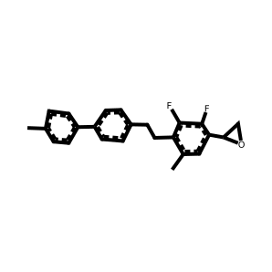 Cc1ccc(-c2ccc(CCc3c(C)cc(C4CO4)c(F)c3F)cc2)cc1